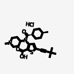 CN1CCC(N(c2cc(C#CC(C)(C)C)sc2C(=O)O)C(=O)[C@H]2CC[C@H](C)CC2)CC1.Cl